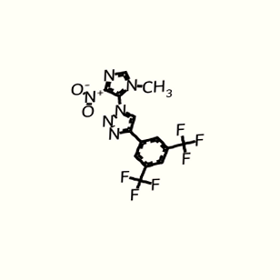 Cn1cnc([N+](=O)[O-])c1-n1cc(-c2cc(C(F)(F)F)cc(C(F)(F)F)c2)nn1